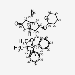 CC(C)(C)[Si](OC[C@@H]1[C@H]2CC(=O)C[C@@]2(C#N)C[C@H]1OC1CCCCO1)(c1ccccc1)c1ccccc1